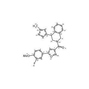 COc1ccc(-c2cc(C(=O)N3Cc4ccccc4C(c4cnn(C)c4)C3)no2)cc1F